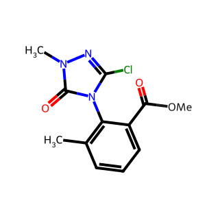 COC(=O)c1cccc(C)c1-n1c(Cl)nn(C)c1=O